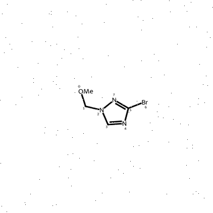 COCn1cnc(Br)n1